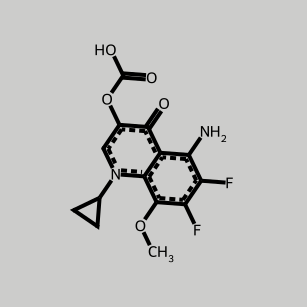 COc1c(F)c(F)c(N)c2c(=O)c(OC(=O)O)cn(C3CC3)c12